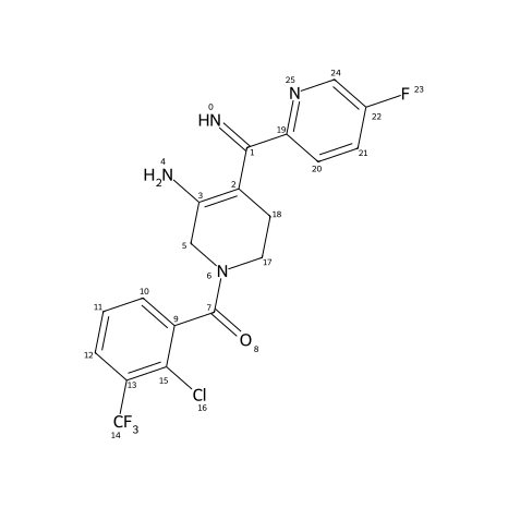 N=C(C1=C(N)CN(C(=O)c2cccc(C(F)(F)F)c2Cl)CC1)c1ccc(F)cn1